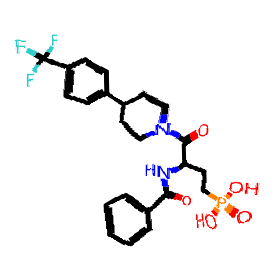 O=C(NC(CCP(=O)(O)O)C(=O)N1CCC(c2ccc(C(F)(F)F)cc2)CC1)c1ccccc1